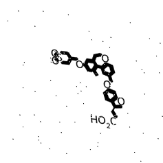 Cc1cc(OCC2CCS(=O)(=O)CC2)cc2c1-c1cc(COc3ccc4c(c3)OC[C@H]4CCC(=O)O)ccc1OCC2